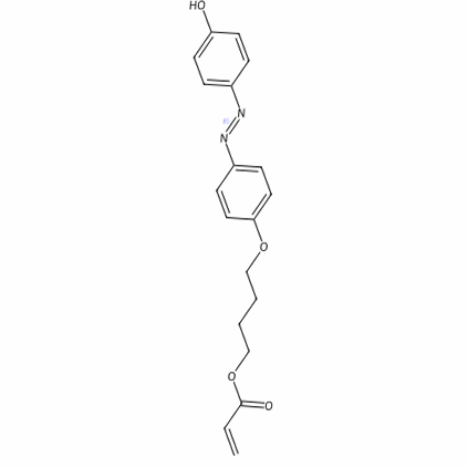 C=CC(=O)OCCCCOc1ccc(/N=N/c2ccc(O)cc2)cc1